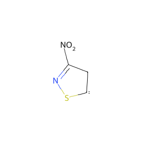 O=[N+]([O-])C1=NS[C]C1